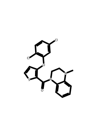 CN1CCN(C(=O)c2sccc2Oc2cc(Cl)ccc2Cl)c2ccccc21